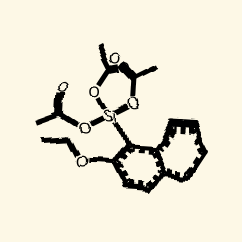 CCOc1ccc2ccccc2c1[Si](OC(C)=O)(OC(C)=O)OC(C)=O